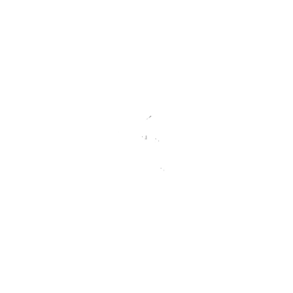 C1CNCCN1.O=C(O)[C@@H]1CCCN1